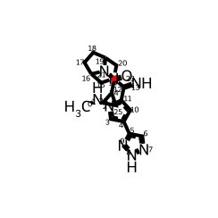 CNn1cc(-c2cn[nH]n2)cc1C(=N)N1CC2CCC(C1)N2C(=O)C1CC1